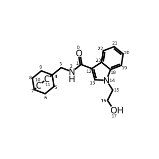 O=C(NCC12CCC(CC1)CC2)c1cn(CCO)c2ccccc12